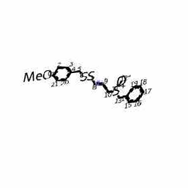 COc1ccc(CSS/C=C/C[S+]([O-])Cc2ccccc2)cc1